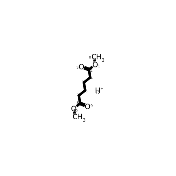 COC(=O)CCCCC(=O)OC.[H+]